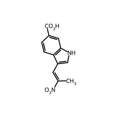 C/C(=C\c1c[nH]c2cc(C(=O)O)ccc12)[N+](=O)[O-]